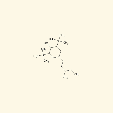 CCC(C)CCC1CC(C(C)(C)C)C(O)C(C(C)(C)C)C1